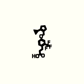 O=C(O)CCc1ccc(OCC2=C(C3CC3)CCC2)cc1C(F)(F)F